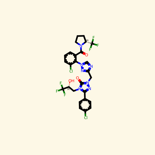 O=C(c1cccc(Cl)c1-n1cnc(Cn2nc(-c3ccc(Cl)cc3)n(C[C@@H](O)C(F)(F)F)c2=O)n1)N1CCC[C@@H]1C(F)(F)F